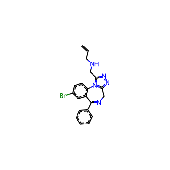 C=CCNCc1nnc2n1-c1ccc(Br)cc1C(c1ccccc1)=NC2